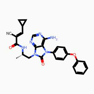 C[C@@H](Cn1c(=O)n(-c2ccc(Oc3ccccc3)cc2)c2c(N)ncnc21)NC(=O)C(C#N)=CC1CC1